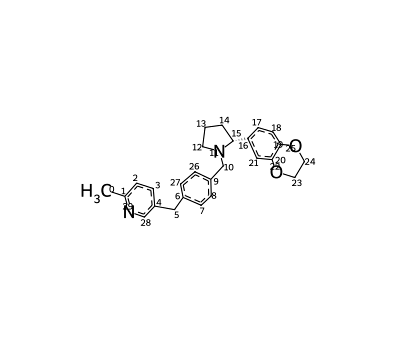 Cc1ccc(Cc2ccc(CN3CCC[C@@H]3c3ccc4c(c3)OCCO4)cc2)cn1